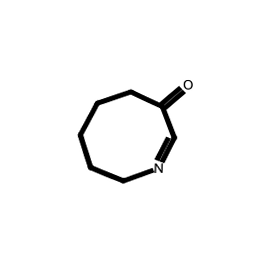 O=C1C=NCCCCC1